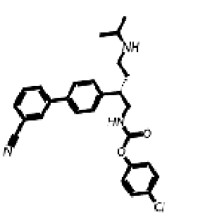 CC(C)NCC[C@H](CNC(=O)Oc1ccc(Cl)cc1)c1ccc(-c2cccc(C#N)c2)cc1